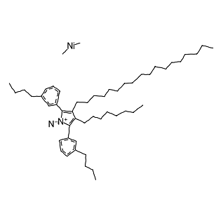 CCCCCCCCCCCCCCCCCCC1=C(c2cccc(CCCC)c2)[N+](=[N-])C(c2cccc(CCCC)c2)=C1CCCCCCCC.[CH3][Ni][CH3]